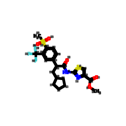 COC(=O)c1csc(NC(=O)C(CC2CCCC2)c2ccc(S(C)(=O)=O)c(C(F)(F)F)c2)n1